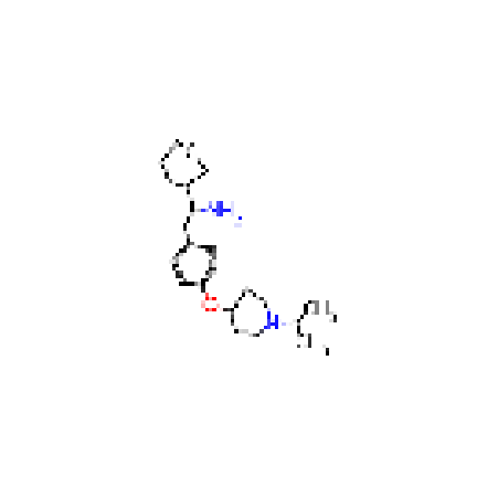 CC(C)N1CCC(Oc2ccc(CC(N)C3CCCCC3)cc2)CC1